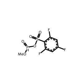 CO[PH](=O)OS(=O)(=O)c1c(F)cc(F)cc1F